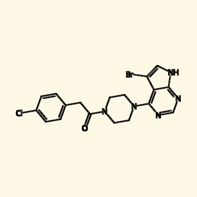 O=C(Cc1ccc(Cl)cc1)N1CCN(c2ncnc3[nH]cc(Br)c23)CC1